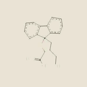 C=C(C)COC1(CCCC)c2ccccc2-c2ccccc21